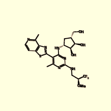 CO[C@@H](CNc1nc(C)c(-c2nc3c(C)nccc3s2)c(N[C@@H]2C[C@H](CO)[C@@H](O)[C@H]2O)n1)C(F)(F)F